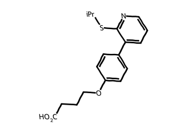 CC(C)Sc1ncccc1-c1ccc(OCCCC(=O)O)cc1